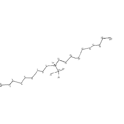 CCCCCCCCCCN(CCCCCCCCCC)C(C)(C)C